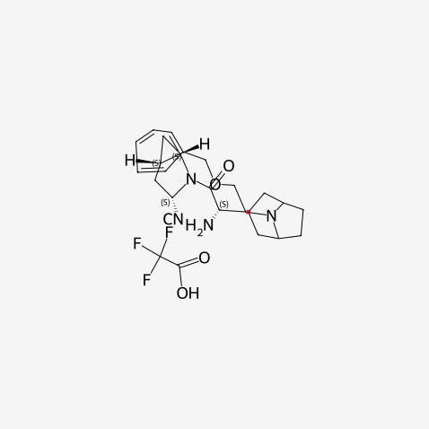 N#C[C@@H]1C[C@@H]2C[C@@H]2N1C(=O)[C@@H](N)C1CC2CCC(C1)N2CCOCc1ccccc1.O=C(O)C(F)(F)F